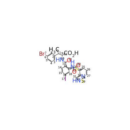 CC(c1cccc(Br)c1)C(NC(=O)c1ccc(I)cc1NS(=O)(=O)C1=CC=CN2SNC=C12)C(=O)O